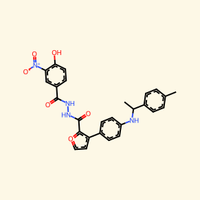 Cc1ccc(C(C)Nc2ccc(-c3ccoc3C(=O)NNC(=O)c3ccc(O)c([N+](=O)[O-])c3)cc2)cc1